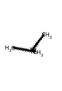 CCCCCCCCCCCCCCCCCc1nc(C)nc(CCCCCCCCCCCCCCCCC)n1